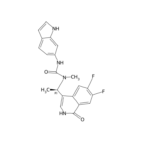 C[C@H](c1c[nH]c(=O)c2cc(F)c(F)cc12)N(C)C(=O)Nc1ccc2cc[nH]c2c1